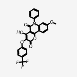 COc1ccc2c3oc(=O)c(Oc4ccc(C(F)(F)F)cc4)c(O)c3c(=O)n(-c3ccccc3)c2c1